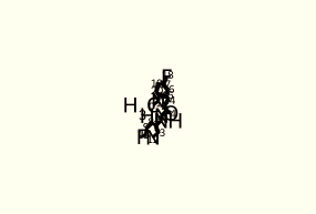 Cn1c(C(=O)NNc2ccc(F)nc2)cc2cc(F)ccc21